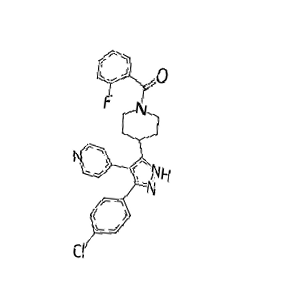 O=C(c1ccccc1F)N1CCC(c2[nH]nc(-c3ccc(Cl)cc3)c2-c2ccncc2)CC1